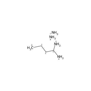 CCCC(N)N.N.N